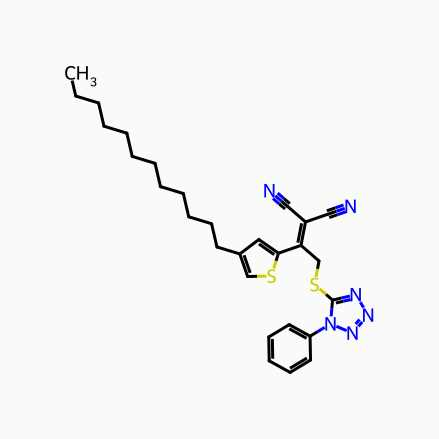 CCCCCCCCCCCCc1csc(C(CSc2nnnn2-c2ccccc2)=C(C#N)C#N)c1